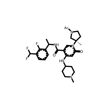 CC(=O)N1CC[C@@](C)(n2cc(C(=O)NC(C)c3cccc(C(F)F)c3F)c(NC3CCN(C)CC3)cc2=O)C1